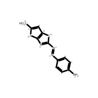 Nc1ccc(N=Nc2nc3sc(C(=O)O)cc3s2)cc1